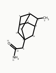 CC1C2CC3CC1CC(CC(N)=O)(C3)C2